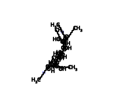 CCCCCC/C=C/CCCC(=O)O[C@H](CCCCCCC)CC(=O)NC(COCC[C@H](O)CCCCCCC)COP(=O)(O)OCCNC(=O)[C@@H](O)[C@@H](O)C(=O)NCCOP(=O)(O)OCC(COCC[C@H](O)CCCCCCC)NC(=O)C[C@@H](CCCCCCCCCCC)OC(=O)CCC/C=C/CCCCCC